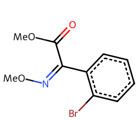 CON=C(C(=O)OC)c1ccccc1Br